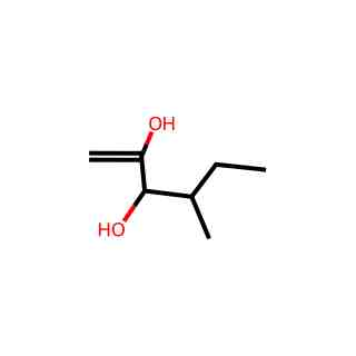 C=C(O)C(O)C(C)CC